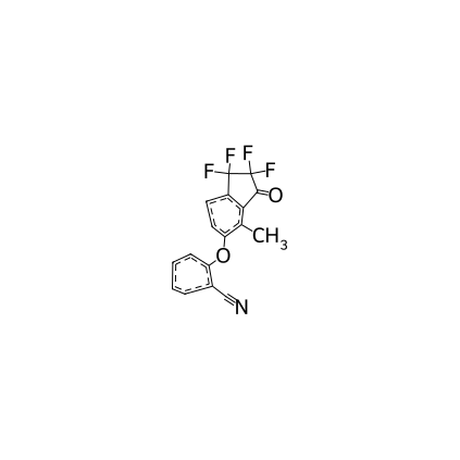 Cc1c(Oc2ccccc2C#N)ccc2c1C(=O)C(F)(F)C2(F)F